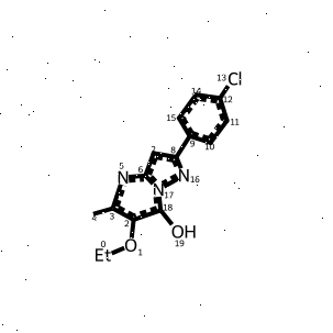 CCOc1c(C)nc2cc(-c3ccc(Cl)cc3)nn2c1O